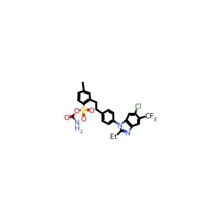 CCc1nc2cc(C(F)(F)F)c(Cl)cc2n1-c1ccc(CCc2cc(C)ccc2S(=O)(=O)OC(N)=O)cc1